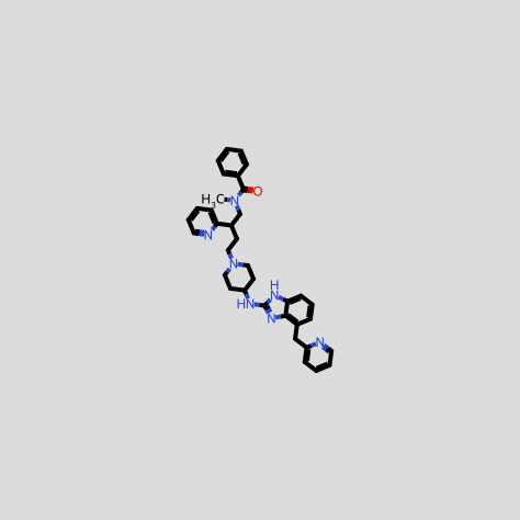 CN(CC(CCN1CCC(Nc2nc3c(Cc4ccccn4)cccc3[nH]2)CC1)c1ccccn1)C(=O)c1ccccc1